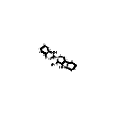 CC(C)C1c2[nH]c3ccccc3c2CCN1C(=O)Nc1ccccc1F